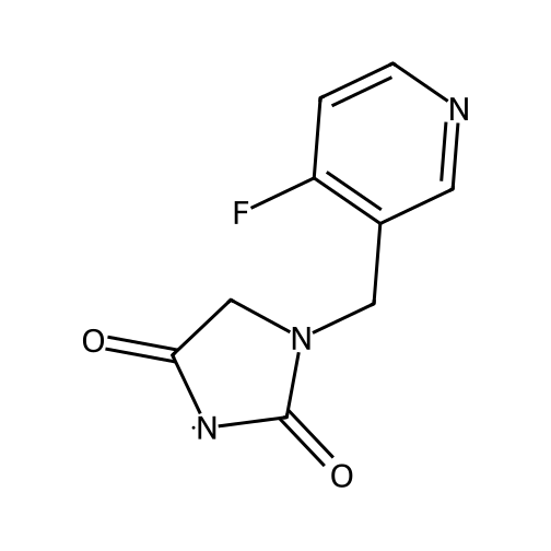 O=C1CN(Cc2cnccc2F)C(=O)[N]1